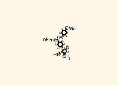 CCCCCC(OCc1ccc(OC)cc1)c1ccc(N2C(=O)C[C@@H](C)[C@@H]2CO)cc1